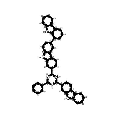 c1ccc(-c2nc(-c3ccc4c(c3)oc3ccccc34)nc(-c3ccc4c(c3)sc3ccc(-c5cccc6c5oc5ccccc56)cc34)n2)cc1